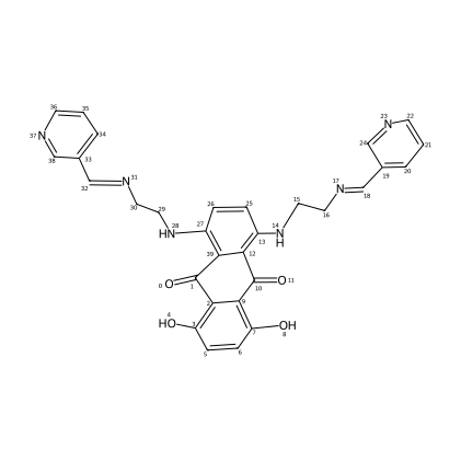 O=C1c2c(O)ccc(O)c2C(=O)c2c(NCCN=Cc3cccnc3)ccc(NCCN=Cc3cccnc3)c21